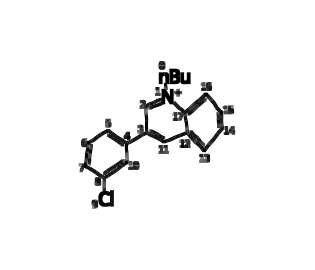 CCCC[n+]1cc(-c2cccc(Cl)c2)cc2ccccc21